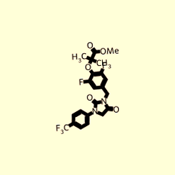 COC(=O)C(C)(C)Oc1c(F)cc(CN2C(=O)CN(c3ccc(C(F)(F)F)cc3)C2=O)cc1F